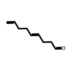 C=CCCC=CCCC=O